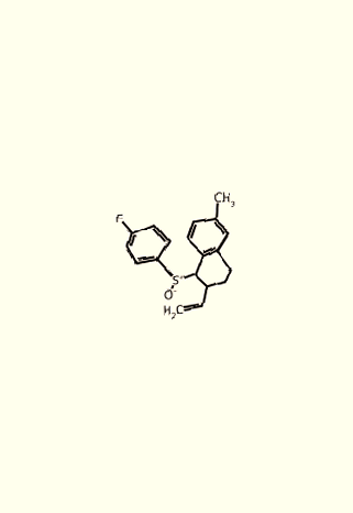 C=CC1CCc2cc(C)ccc2C1[S+]([O-])c1ccc(F)cc1